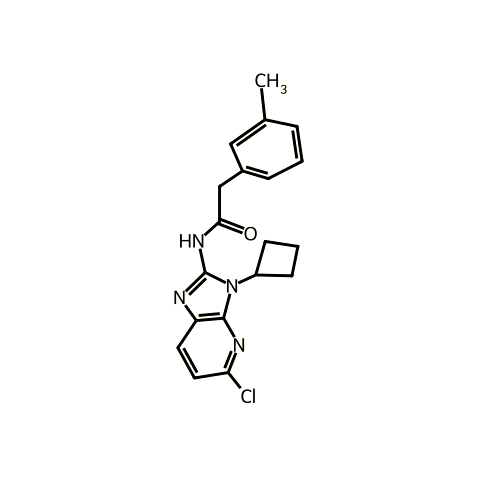 Cc1cccc(CC(=O)Nc2nc3ccc(Cl)nc3n2C2CCC2)c1